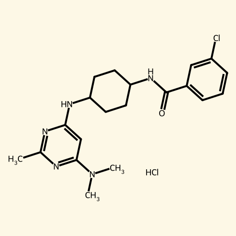 Cc1nc(NC2CCC(NC(=O)c3cccc(Cl)c3)CC2)cc(N(C)C)n1.Cl